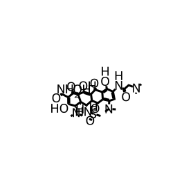 CN(C)CC(=O)Nc1cc(N(C)C)c2c(c1O)C(=O)C1=C(O)[C@]3(O)C(=O)C(C(N)=O)=C(O)[C@@H](N(C)C)[C@@H]3[C@@H](NS(C)(=O)=O)[C@@H]1C2